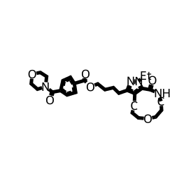 CCn1nc(CCCCOC(=O)c2ccc(C(=O)N3CCOCC3)cc2)c2c1C(=O)NCCCOCCC2